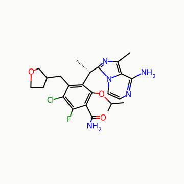 Cc1nc([C@@H](C)c2c(CC3CCOC3)c(Cl)c(F)c(C(N)=O)c2OC(C)C)n2ccnc(N)c12